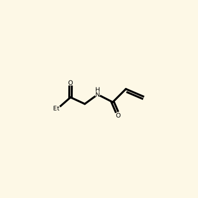 C=CC(=O)NCC(=O)CC